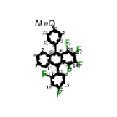 COc1ccc(-c2c3ccccc3c(-c3ccc(F)cc3F)c3c(F)c(F)c(F)c(F)c23)cc1